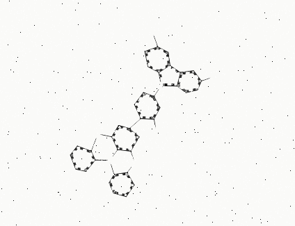 Cc1ccc2c(c1)c1cc(C)ccc1n2-c1ccc(-c2cc3c4c(c2)Oc2ccccc2B4c2ccccc2O3)c(C)c1